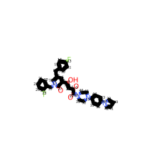 O=C(C=C(O)c1cc(Cc2ccc(F)cc2)cn(Cc2ccccc2F)c1=O)C(=O)N1CCN(c2ccc(-n3cccc3)cc2)CC1